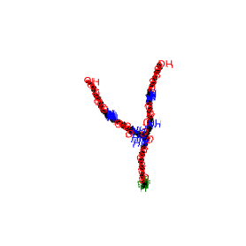 O=C(CCOCCOCCn1cc(COCCOCCOCCOCCO)nn1)NCCCC[C@H](NC(=O)CCCNC(=O)CCOCCOCCn1cc(COCCOCCOCCOCCO)nn1)C(=O)NCCOCCOCCOCCOCCC(=O)Oc1c(F)c(F)c(F)c(F)c1F